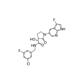 O=C(NCc1cc(F)cc(Cl)c1)[C@@]1(O)CCN(c2cnc3[nH]cc(F)c3c2)C1=O